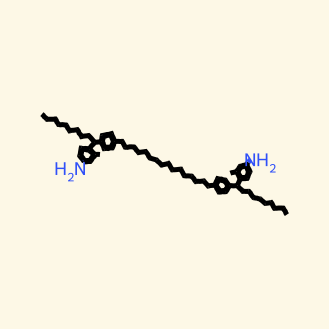 CCCCCCCCCC(c1ccc(CCCCCCCCCCCCCCCCc2ccc(C(CCCCCCCCC)c3ccc(N)cc3C)cc2)cc1)c1ccc(N)cc1C